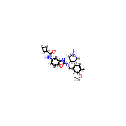 CCOc1cc(CN(c2nc3cc(NC(=O)C4CCC4)ccc3o2)C2CCNCC2)ccc1C